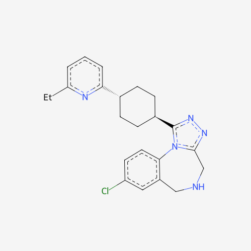 CCc1cccc([C@H]2CC[C@H](c3nnc4n3-c3ccc(Cl)cc3CNC4)CC2)n1